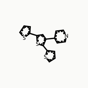 c1csc(-c2cc(-c3ccncc3)c(-c3cccs3)s2)c1